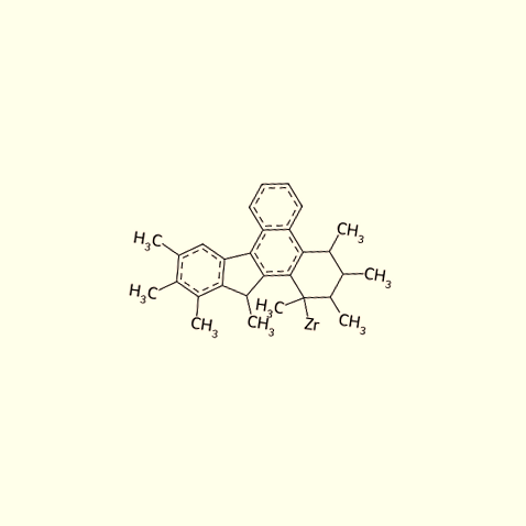 Cc1cc2c(c(C)c1C)C(C)c1c3c(c4ccccc4c1-2)C(C)C(C)C(C)[C]3(C)[Zr]